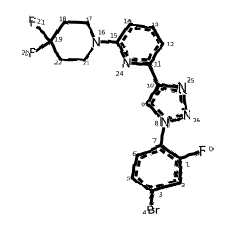 Fc1cc(Br)ccc1-n1cc(-c2cccc(N3CCC(F)(F)CC3)n2)nn1